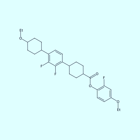 CCOc1ccc(OC(=O)C2CCC(c3ccc(C4CCC(OCC)CC4)c(F)c3F)CC2)c(F)c1